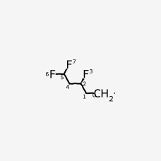 [CH2]C[C@H](F)CC(F)F